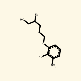 CCC(CO)CCCOc1cccc([N+](=O)[O-])c1C#N